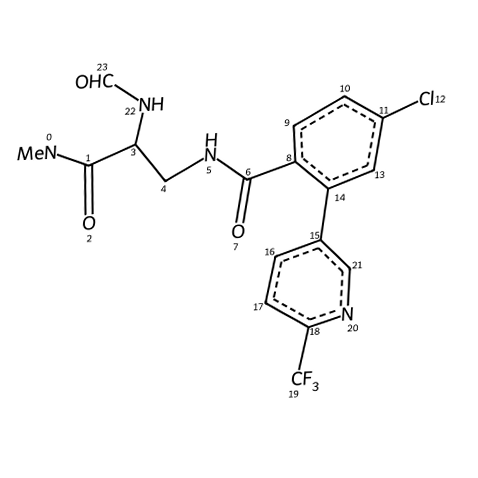 CNC(=O)C(CNC(=O)c1ccc(Cl)cc1-c1ccc(C(F)(F)F)nc1)NC=O